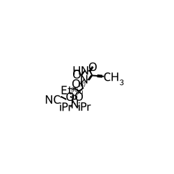 CC#Cc1cn([C@H]2C[C@@H](OP(OCCC#N)N(C(C)C)C(C)C)[C@@H](CC)O2)c(=O)[nH]c1=O